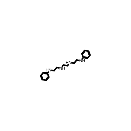 c1ccc(NCCNCCNCCNc2ccccc2)cc1